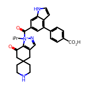 CC(C)[N+]1(C(=O)c2cc(-c3ccc(C(=O)O)cc3)c3cc[nH]c3c2)N=CC2=C1C(=O)CC1(CCNCC1)C2